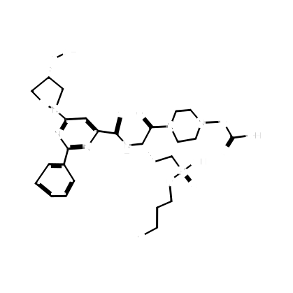 CCCCOP(=O)(O)CC[C@H](NC(=O)c1cc(N2CC[C@H](OC)C2)nc(-c2ccccc2)n1)C(=O)N1CCN(OC(=O)O)CC1